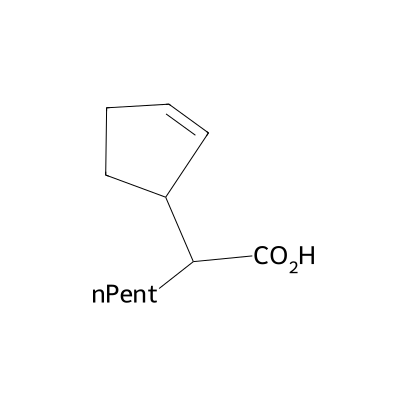 CCCCCC(C(=O)O)C1C=CCC1